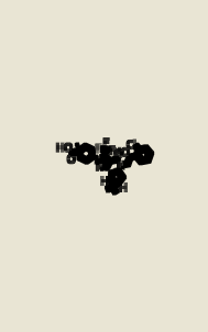 CC1(C)[C@@H]2C[C@@H](N(CC(O)c3ccccc3Cl)C(=O)c3cnn([C@H]4CC[C@](C)(C(=O)O)CC4)c3C(F)(F)F)C[C@@H]21